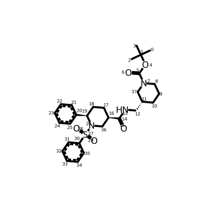 CC(C)(C)OC(=O)N1CCC[C@H](CNC(=O)[C@@H]2CC[C@H](c3ccccc3)N(S(=O)(=O)c3ccccc3)C2)C1